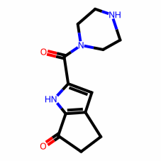 O=C1CCc2cc(C(=O)N3CCNCC3)[nH]c21